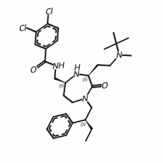 CC[C@H](CN1CC[C@@H](CNC(=O)c2ccc(Cl)c(Cl)c2)N[C@@H](CCN(C)C(C)(C)C)C1=O)c1ccccc1